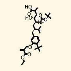 C=C(COc1cc(C[C@@H](C[C@H](NC(=O)OC(C)(C)C)[C@@H](O)CC(C)C(=O)O)C(C)C)ccc1C(C)(C)C)C(=O)OCC